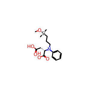 CO[Si](C)(C)CCCN(c1ccccc1)[C@@H](CC(=O)O)C(=O)O